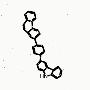 c1ccc2c(c1)ccc1cc(-c3ccc(-c4ccc5[nH]c6ccccc6c5c4)cc3)ccc12